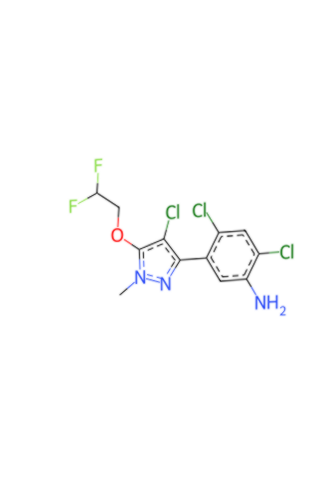 Cn1nc(-c2cc(N)c(Cl)cc2Cl)c(Cl)c1OCC(F)F